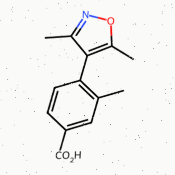 Cc1cc(C(=O)O)ccc1-c1c(C)noc1C